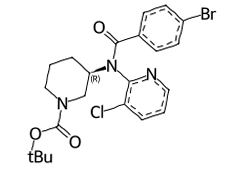 CC(C)(C)OC(=O)N1CCC[C@@H](N(C(=O)c2ccc(Br)cc2)c2ncccc2Cl)C1